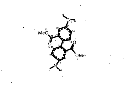 COC(=O)c1cc(N(C)C)ccc1-c1ccc(N(C)C)cc1C(=O)OC